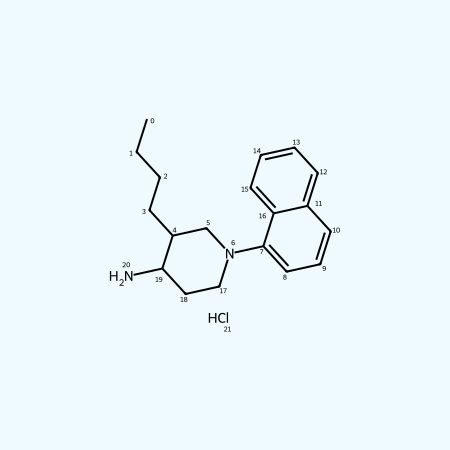 CCCCC1CN(c2cccc3ccccc23)CCC1N.Cl